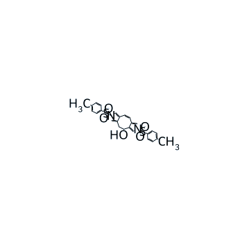 Cc1ccc(S(=O)(=O)n2cc3c(c2)CC(O)c2cn(S(=O)(=O)c4ccc(C)cc4)cc2/C=C\3)cc1